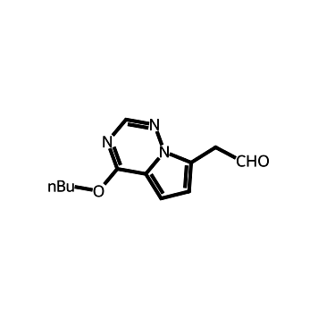 CCCCOc1ncnn2c(CC=O)ccc12